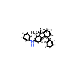 CC1(C)c2cc(Nc3ccccc3)ccc2-c2c(-c3ccccc3)cccc21